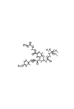 CC(=O)Oc1ccc(CONC(=O)CCC(CC(=O)OCCS(C)(C)C)Cc2ccc(C(=O)OCOC(=O)OC(C)C)cc2)cc1